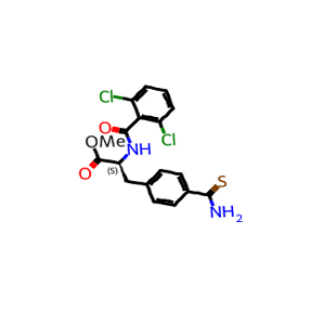 COC(=O)[C@H](Cc1ccc(C(N)=S)cc1)NC(=O)c1c(Cl)cccc1Cl